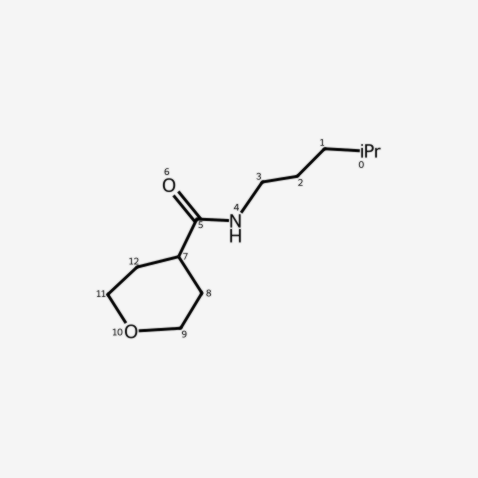 CC(C)CCCNC(=O)C1CCOCC1